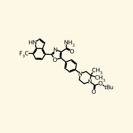 CC(C)(C)OC(=O)N1CCN(c2ccc(-c3oc(-c4ccc(C(F)(F)F)c5[nH]ccc45)nc3C(N)=O)cc2)CC1(C)C